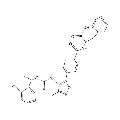 Cc1noc(-c2ccc(C(=O)NC(Cc3ccccc3)C(=O)O)cc2)c1NC(=O)OC(C)c1ccccc1Cl